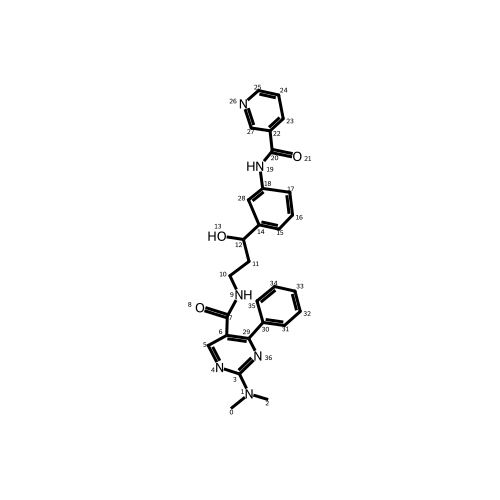 CN(C)c1ncc(C(=O)NCCC(O)c2cccc(NC(=O)c3cccnc3)c2)c(-c2ccccc2)n1